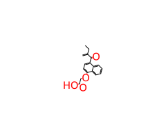 C=C(CC)C(=O)c1ccc(OCC(=O)O)c2ccccc12